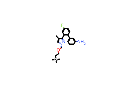 Cc1cn(COCC[Si](C)(C)C)nc1-c1cc(F)ccc1-c1cccc(N)c1